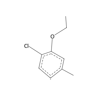 CCOc1cc(C)[c]cc1Cl